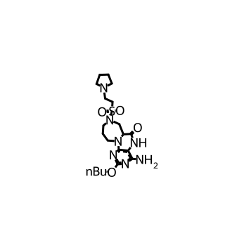 CCCCOc1nc(N)c2c(n1)N1CCCN(S(=O)(=O)CCN3CCCC3)CC1C(=O)N2